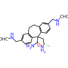 C[C@H](N)CC1(C(N)=O)c2ccc(CNC=O)cc2CCc2cc(CNC=O)ccc21